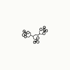 O=S1(=O)CC(C2COS(=O)(=O)OC2)CC(C2COS(=O)(=O)OC2)O1